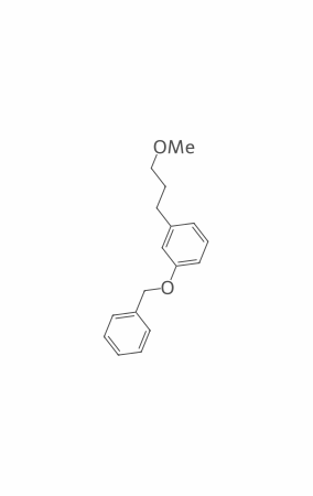 COCCCc1cccc(OCc2ccccc2)c1